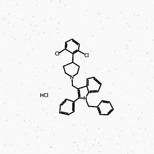 Cl.Clc1cccc(Cl)c1C1CCN(Cc2c(-c3ccccc3)n(Cc3ccccc3)c3ccccc23)CC1